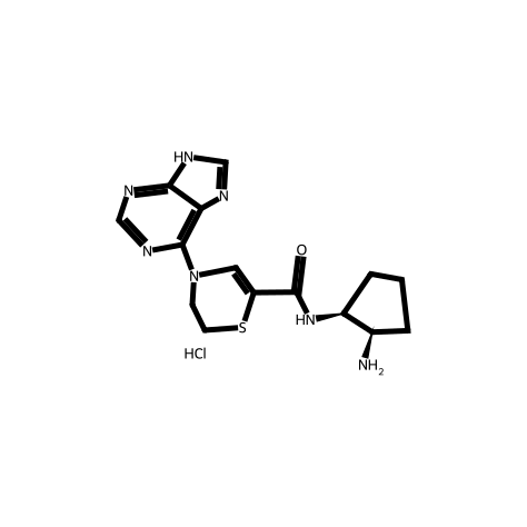 Cl.N[C@@H]1CCC[C@@H]1NC(=O)C1=CN(c2ncnc3[nH]cnc23)CCS1